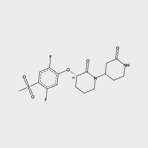 CS(=O)(=O)c1cc(F)c(O[C@H]2CCCN(C3CCNC(=O)C3)C2=O)cc1F